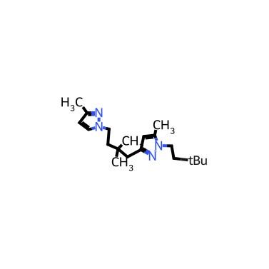 Cc1ccn(CCC(C)(C)Cc2cc(C)n(CCC(C)(C)C)n2)n1